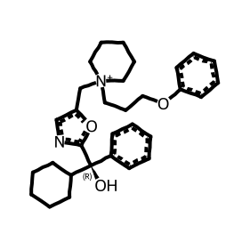 O[C@](c1ccccc1)(c1ncc(C[N+]2(CCCOc3ccccc3)CCCCC2)o1)C1CCCCC1